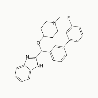 CN1CCC(OC(c2cccc(-c3cccc(F)c3)c2)c2nc3ccccc3[nH]2)CC1